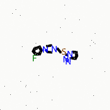 Fc1cccc(N2CCN(CCSc3nnc4ccccn34)CC2)c1